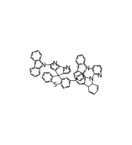 C1=CC2c3cc(-c4ccc5c(c4)C4(c6ccccc6S5)c5cccnc5-c5ncc(-n6c7ccccc7c7ccccc76)cc54)ccc3N(c3ncccc3-n3c4ccccc4c4ccccc43)C2C=C1